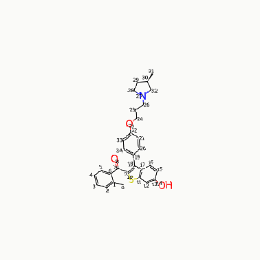 Cc1ccccc1C(=O)c1sc2cc(O)ccc2c1-c1ccc(OCCCN2CC[C@@H](C)C2)cc1